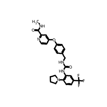 CNC(=O)c1cc(Oc2ccc(CNC(=O)Nc3cc(C(F)(F)F)ccc3N3CCCC3)cc2)ccn1